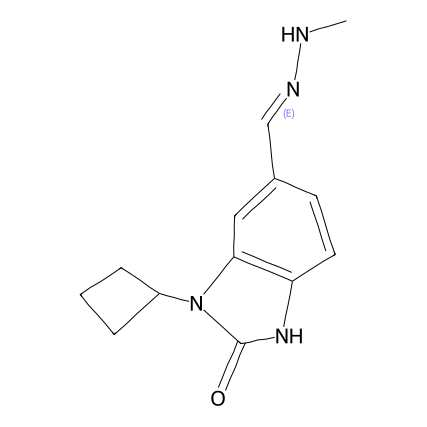 CN/N=C/c1ccc2[nH]c(=O)n(C3CCC3)c2c1